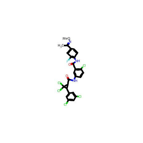 CO/N=C(\C)c1ccc(NC(=O)c2cc(NC(=O)C3C(c4cc(Cl)cc(Cl)c4)C3(Cl)Cl)ccc2Cl)c(F)c1